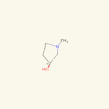 CN1CC[C@H](O)C1